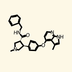 Cc1c[nH]c2nccc(Oc3ccc([C@H]4CN(C)C[C@@H]4C(=O)NCc4ccccc4)cc3)c12